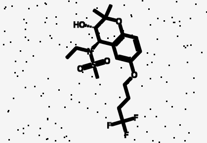 CCN([C@@H]1c2cc(OCCCC(F)(F)F)ccc2OC(C)(C)[C@H]1O)S(C)(=O)=O